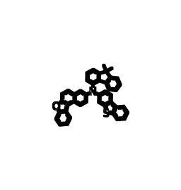 CC1(C)c2ccccc2-c2c(N(c3ccc4c(ccc5oc6ccccc6c54)c3)c3ccc4c(c3)sc3ccccc34)cccc21